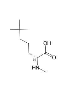 CN[C@H](CCCC(C)(C)C)C(=O)O